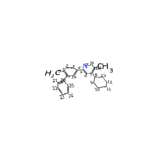 Cc1ccc(-c2cc(C3CCCCC3)c(C)cn2)cc1-c1ccccc1